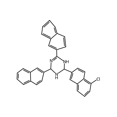 Clc1cccc2cc(C3NC(c4ccc5ccccc5c4)=NC(c4ccc5ccccc5c4)N3)ccc12